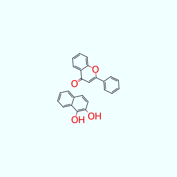 O=c1cc(-c2ccccc2)oc2ccccc12.Oc1ccc2ccccc2c1O